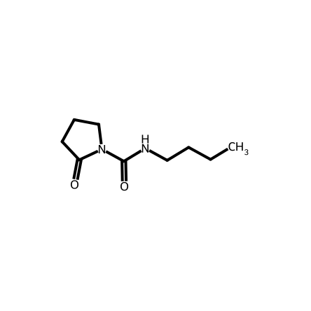 CCCCNC(=O)N1CCCC1=O